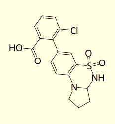 O=C(O)c1cccc(Cl)c1-c1ccc2c(c1)S(=O)(=O)NC1CCCN21